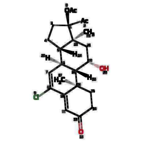 CC(=O)O[C@]1(C(C)=O)CC[C@H]2[C@@H]3C=C(Cl)C4=CC(=O)CC[C@]4(C)[C@H]3[C@@H](O)C[C@@]21C